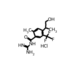 Cc1cc(C(C)CO)c(C(F)(F)F)cc1C(=O)NC(=N)N.Cl